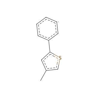 Cc1csc(-c2c[c]ccc2)c1